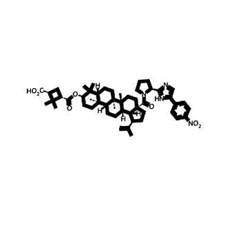 C=C(C)[C@@H]1CC[C@]2(C(=O)N3CCC[C@H]3c3ncc(-c4ccc([N+](=O)[O-])cc4)[nH]3)CC[C@]3(C)[C@H](CC[C@@H]4[C@@]5(C)CC[C@H](OC(=O)[C@H]6C[C@@H](C(=O)O)C6(C)C)C(C)(C)[C@@H]5CC[C@]43C)[C@@H]12